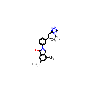 C[C@H](Cc1nncn1C)c1cccc(N2Cc3c(cc(C(=O)O)cc3C(F)(F)F)C2=O)c1